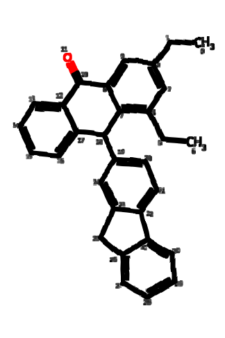 CCc1cc(CC)c2c(c1)C(=O)c1ccccc1C2c1ccc2c(c1)Cc1ccccc1-2